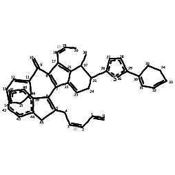 C=C/C=C\CC1=C(C2=C(C(=C)C3=CC=CCC3)C(/C=C\C)=C3C2=CCC(c2ccc(C4=CC=CCC4)s2)C3C)c2ccccc2C1